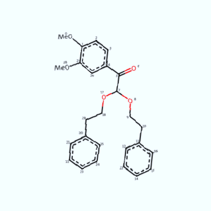 COc1ccc(C(=O)C(OCCc2ccccc2)OCCc2ccccc2)cc1OC